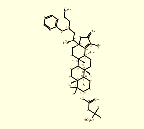 CNCCN(Cc1ccccc1)C[C@H](O)[C@@]12CC[C@]3(C)[C@H](CC[C@@H]4[C@@]5(C)CC[C@H](OC(=O)CC(C)(C)C(=O)O)C(C)(C)[C@@H]5CC[C@]43C)C1=C(C(C)C)C(=O)C2